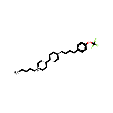 CCCCC[Si@H]1CC[C@H]([C@H]2CC[C@H](CCCCc3ccc(OC(F)(F)F)cc3)CC2)CC1